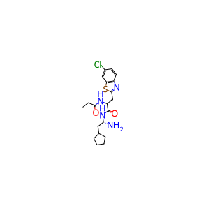 CCC(=O)N[C@@H](Cc1nc2ccc(Cl)cc2s1)C(=O)N[C@H](N)CC1CCCC1